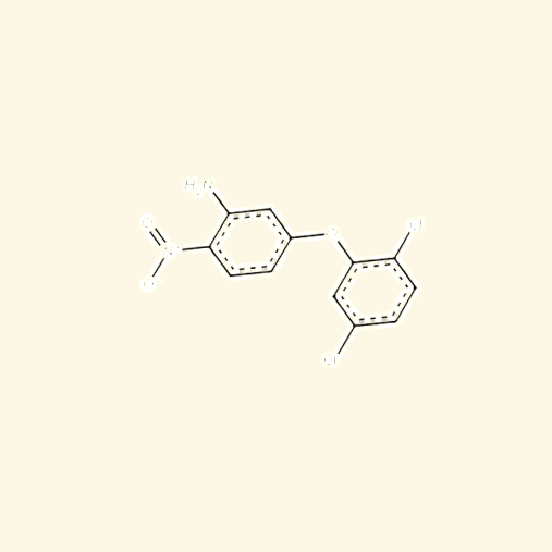 Nc1cc(Oc2cc(Cl)ccc2Cl)ccc1[N+](=O)[O-]